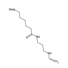 C=CNCCCNC(=O)CCCCCNC